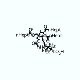 CCCCCCCC(=O)OCC(COC(=O)CCCCCCC)(COC(=O)CCCCCCC)C(CCCC(CC)(CC)C(CC)(CC)C(=O)O)OC(=O)CCCCCCC